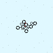 c1ccc(-c2nc(-c3ccccc3-n3c4ccccc4c4c5oc6ccccc6c5ccc43)nc3c2oc2ccccc23)cc1